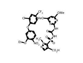 CCOc1cc(Oc2ccc(C(F)(F)F)cc2Cl)ccc1[N+](=O)[O-].COc1cc(OC)nc(NC(=O)NS(=O)(=O)c2c(C(=O)O)cnn2C)n1